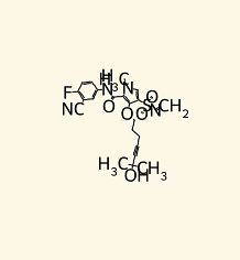 C=NS(=O)(=O)c1cn(C)c(C(=O)Nc2ccc(F)c(C#N)c2)c1OCCCC#CC(C)(C)O